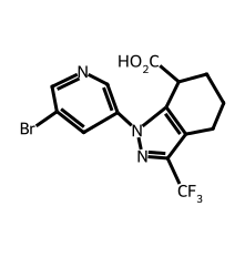 O=C(O)C1CCCc2c(C(F)(F)F)nn(-c3cncc(Br)c3)c21